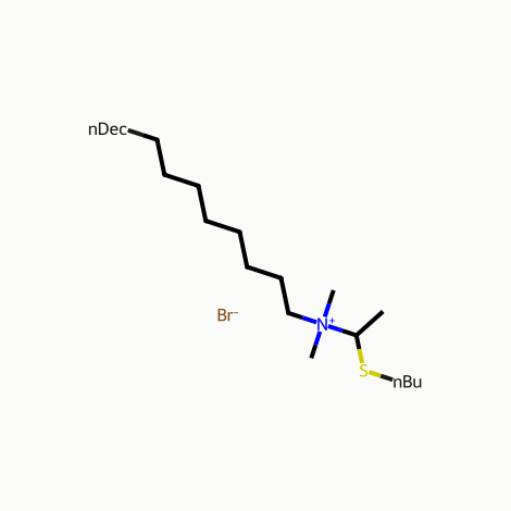 CCCCCCCCCCCCCCCCCC[N+](C)(C)C(C)SCCCC.[Br-]